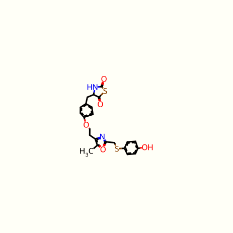 Cc1oc(CSc2ccc(O)cc2)nc1CCOc1ccc(CC2NC(=O)SC2=O)cc1